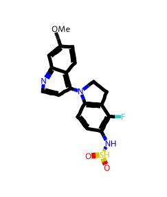 COc1ccc2c(N3CCc4c3ccc(N[SH](=O)=O)c4F)ccnc2c1